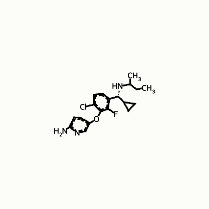 CCC(C)N[C@@H](c1ccc(Cl)c(Oc2ccc(N)nc2)c1F)C1CC1